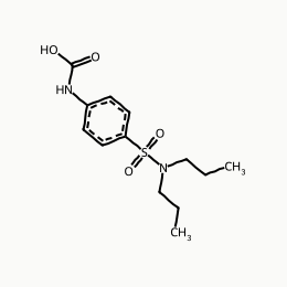 CCCN(CCC)S(=O)(=O)c1ccc(NC(=O)O)cc1